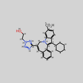 O=C(O)c1ccc2c(C3CCCCC3)c3n(c2c1)CC(c1nnn(CCO)n1)=Cc1ccccc1-3